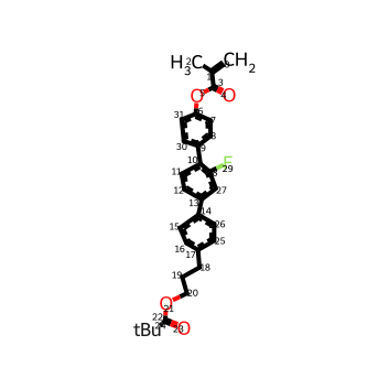 C=C(C)C(=O)Oc1ccc(-c2ccc(-c3ccc(CCCOC(=O)C(C)(C)C)cc3)cc2F)cc1